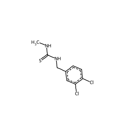 CNC(=S)NCc1ccc(Cl)c(Cl)c1